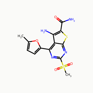 Cc1ccc(-c2nc(S(C)(=O)=O)nc3sc(C(N)=O)c(N)c23)o1